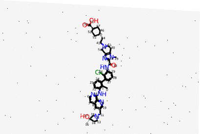 Cc1c(Nc2nccc3cc(CN4CC[C@@](C)(O)C4)cnc23)cccc1-c1cccc(NC(=O)c2nc3c(n2C)CCN(CC[C@H]2CC[C@H](C(=O)O)CC2)C3)c1Cl